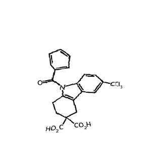 O=C(c1ccccc1)n1c2c(c3cc(C(Cl)(Cl)Cl)ccc31)CC(C(=O)O)(C(=O)O)CC2